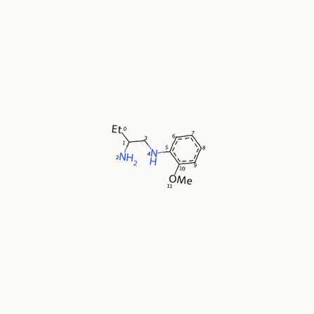 CCC(N)CNc1ccccc1OC